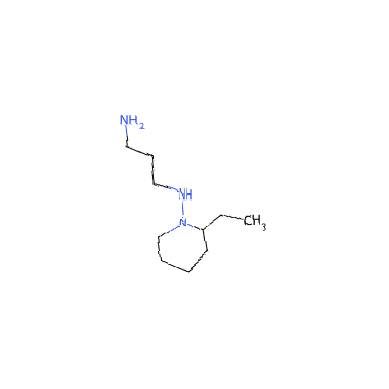 CCC1CCCCN1NCCCN